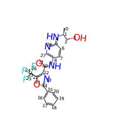 C[C@@H](CO)Nc1ccc(NC(=O)c2nc(-c3ccccc3)oc2C(F)(F)F)cn1